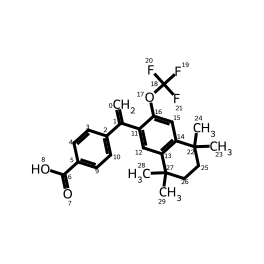 C=C(c1ccc(C(=O)O)cc1)c1cc2c(cc1OC(F)(F)F)C(C)(C)CCC2(C)C